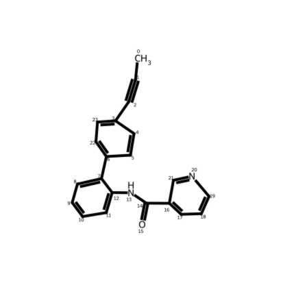 CC#Cc1ccc(-c2ccccc2NC(=O)c2cccnc2)cc1